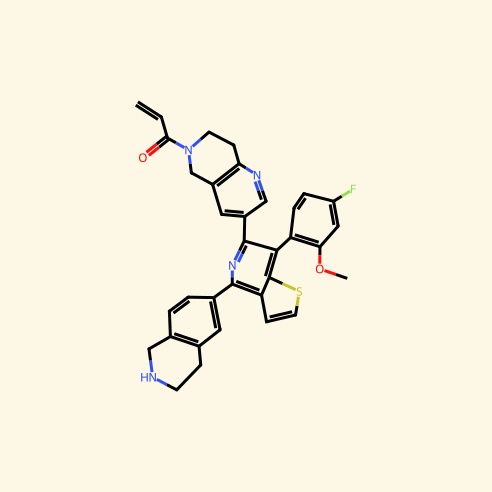 C=CC(=O)N1CCc2ncc(-c3nc(-c4ccc5c(c4)CCNC5)c4ccsc4c3-c3ccc(F)cc3OC)cc2C1